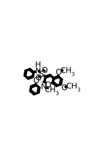 COc1cc(OC)c(C=C(C#N)S(=O)(=O)Nc2ccccc2Oc2ccccc2)c(OC)c1